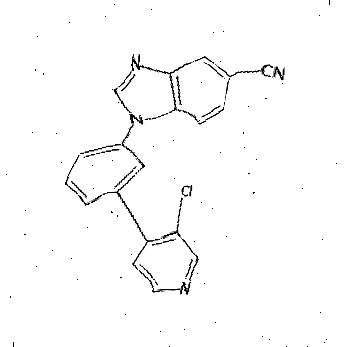 N#Cc1ccc2c(c1)ncn2-c1cccc(-c2ccncc2Cl)c1